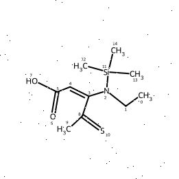 CCN(C(=CC(=O)O)C(C)=S)[Si](C)(C)C